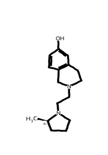 C[C@@H]1CCCN1CCN1CCc2cc(O)ccc2C1